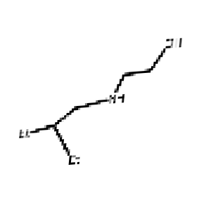 CCC(CC)CNCCO